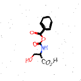 O=C(NC(CO)C(=O)O)OC(=O)c1ccccc1